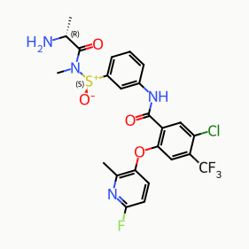 Cc1nc(F)ccc1Oc1cc(C(F)(F)F)c(Cl)cc1C(=O)Nc1cccc([S@@+]([O-])N(C)C(=O)[C@@H](C)N)c1